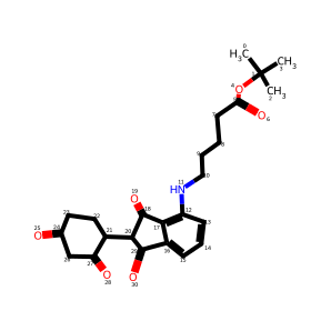 CC(C)(C)OC(=O)CCCCNc1cccc2c1C(=O)C(C1CCC(=O)CC1=O)C2=O